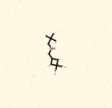 CC(C)(C)CNCC1CC(F)(F)C1